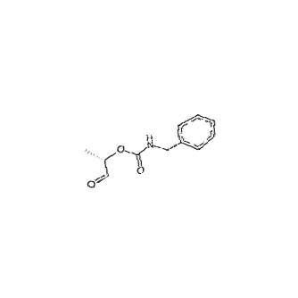 C[C@@H](C=O)OC(=O)NCc1ccccc1